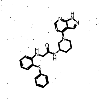 O=C(CNc1ccccc1Sc1ccccc1)N[C@@H]1CCCN(c2ncnc3[nH]ncc23)C1